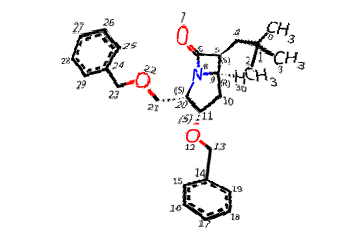 CC(C)(C)C[C@@H]1C(=O)N2[C@@H]1C[C@H](OCc1ccccc1)[C@@H]2COCc1ccccc1